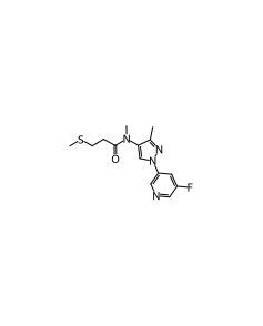 CSCCC(=O)N(C)c1cn(-c2cncc(F)c2)nc1C